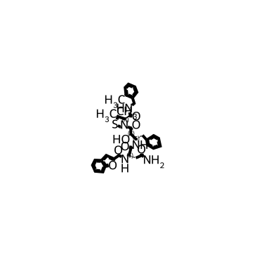 Cc1ccccc1CNC(=O)[C@H]1N(C(=O)[C@@H](O)[C@H](Cc2ccccc2)NC(=O)[C@H](CC(N)=O)NC(=O)c2cc3ccccc3o2)CSC1(C)C